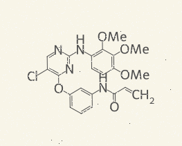 C=CC(=O)Nc1cccc(Oc2nc(Nc3ccc(OC)c(OC)c3OC)ncc2Cl)c1